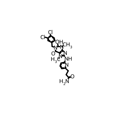 CN1c2nc(Nc3cccc(CCC(N)=O)n3)n(C)c2C(=O)N(Cc2ccc(Cl)c(Cl)c2)C1O